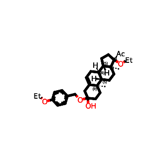 CCOc1ccc(COC2(O)CC[C@@]3(C)C(=CC[C@@H]4[C@@H]3CC[C@@]3(C)[C@H]4CC[C@]3(OCC)C(C)=O)C2)cc1